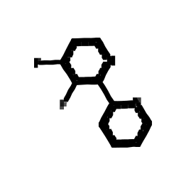 Fc1ccnc(-c2ccccn2)c1F